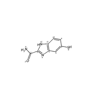 NC(=O)c1nc2cc(S)ccc2[nH]1